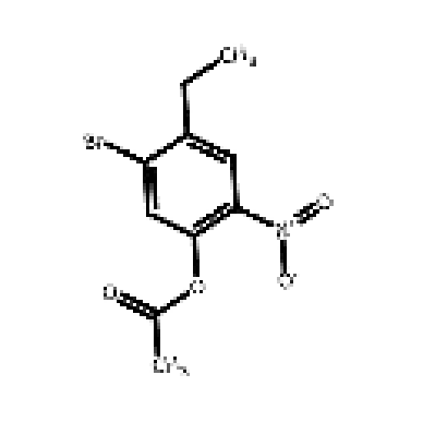 CCc1cc([N+](=O)[O-])c(OC(C)=O)cc1Br